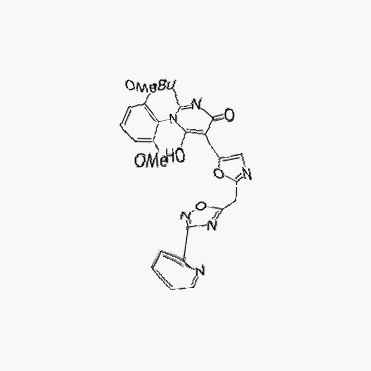 CCCCc1nc(=O)c(-c2cnc(Cc3nc(-c4ccccn4)no3)o2)c(O)n1-c1c(OC)cccc1OC